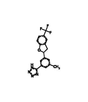 Cc1cc(-c2nnn[nH]2)cc(C2Cc3cc(C(F)(F)F)ccc3O2)c1